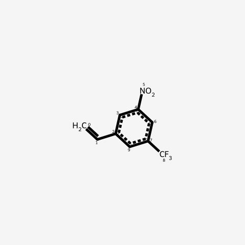 C=[C]c1cc([N+](=O)[O-])cc(C(F)(F)F)c1